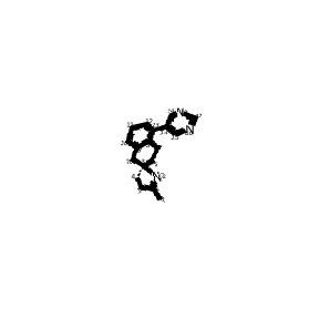 CC1=N[C@]2(CC1)CCc1c(cccc1-c1cncnc1)C2